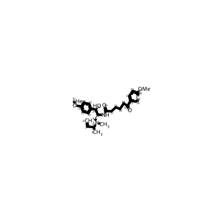 C=CC(C)N(C)C[C@@H](NC(=O)CCCCC(=O)c1ccc(OC)cc1)[C@H](O)c1ccc(OCCCCCC)cc1